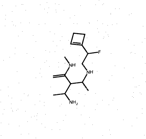 C=C(NC)C(C(C)N)C(C)NCC(F)C1=CCC1